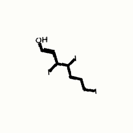 OC=CC(I)C(I)CCCI